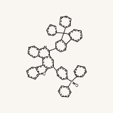 O=P(c1ccccc1)(c1ccccc1)c1ccc(-c2cc3c(-c4ccc5c(c4)C(c4ccccc4)(c4ccccc4)c4ccccc4-5)nc4ccccc4c3c3c2oc2ccccc23)cc1